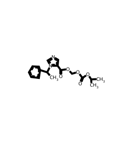 CC(C)OC(=O)OCOC(=O)c1cncn1C(C)c1ccccc1